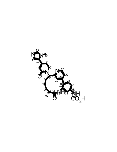 C[C@@H]1CCC[C@H](N2CCC(c3cncn3C)=CC2=O)c2cc(ccn2)-c2ccc(NC(=O)O)cc2NC1=O